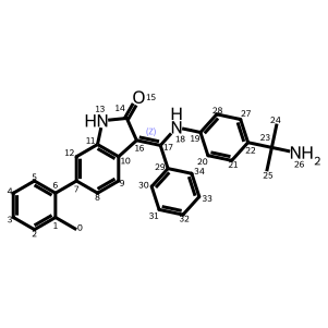 Cc1ccccc1-c1ccc2c(c1)NC(=O)/C2=C(\Nc1ccc(C(C)(C)N)cc1)c1ccccc1